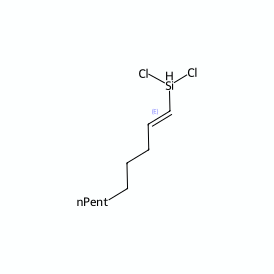 CCCCCCCC/C=C/[SiH](Cl)Cl